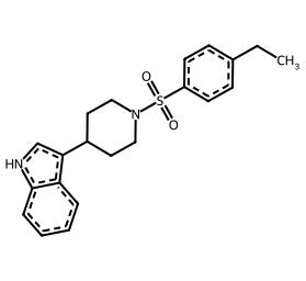 CCc1ccc(S(=O)(=O)N2CCC(c3c[nH]c4ccccc34)CC2)cc1